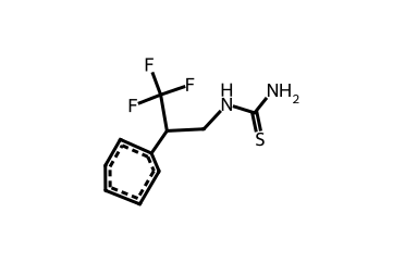 NC(=S)NCC(c1ccccc1)C(F)(F)F